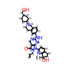 C=CCn1c(=O)c2cnc(Nc3ccc4c(c3)CCN([C@H]3CC[C@H](CO)CC3)C4)nc2n1-c1ccc2c(n1)[C@@](O)(CC)CC2